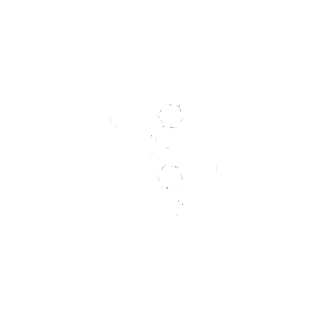 CCc1ccc(N(CC(C)C)S(=O)(=O)c2ccc3c(c2)C(C)CCN3[C@H](C)C2CCOCC2)cc1